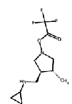 C[C@H]1CN(OC(=O)C(F)(F)F)C[C@@H]1CNC1CC1